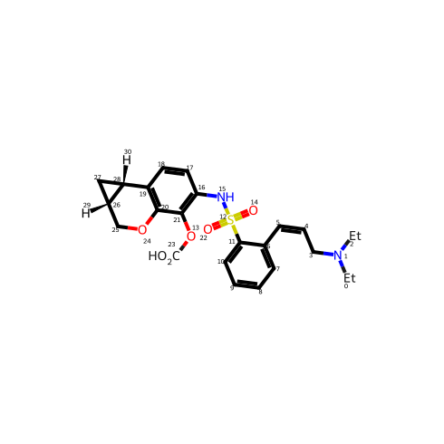 CCN(CC)C/C=C\c1ccccc1S(=O)(=O)Nc1ccc2c(c1OC(=O)O)OC[C@@H]1C[C@H]21